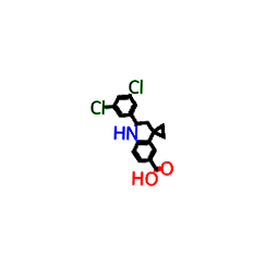 O=C(O)c1ccc2c(c1)C1(CC1)CC(c1cc(Cl)cc(Cl)c1)N2